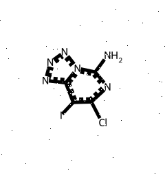 Nc1nc(Cl)c(I)c2nnnn12